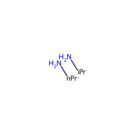 CC[CH]N.[CH2]C(C)N